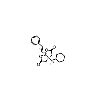 C[C@@H](C1CCCCC1)[N+]12CC(=O)O[B-]1(/C=C/c1ccccc1)OC(=O)C2